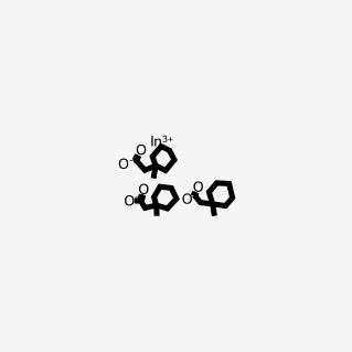 CC1(CC(=O)[O-])CCCCC1.CC1(CC(=O)[O-])CCCCC1.CC1(CC(=O)[O-])CCCCC1.[In+3]